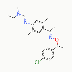 CCN(C)C=Nc1cc(C)c(/C(C)=N/OC(C)c2ccc(Cl)cc2)cc1C